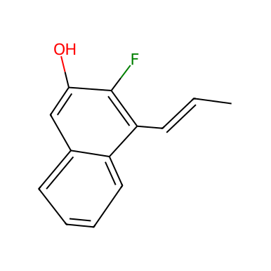 C/C=C/c1c(F)c(O)cc2ccccc12